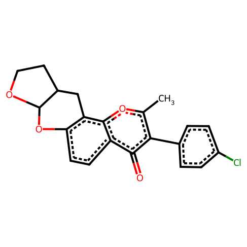 Cc1oc2c3c(ccc2c(=O)c1-c1ccc(Cl)cc1)OC1OCCC1C3